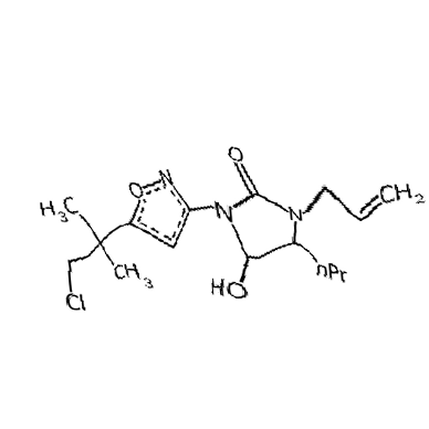 C=CCN1C(=O)N(c2cc(C(C)(C)CCl)on2)C(O)C1CCC